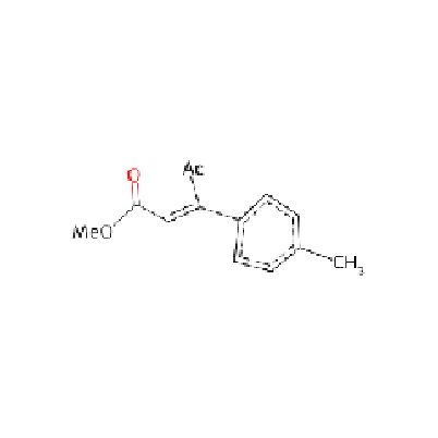 COC(=O)C=C(C(C)=O)c1ccc(C)cc1